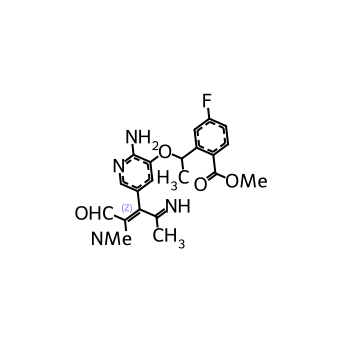 CN/C(C=O)=C(\C(C)=N)c1cnc(N)c(OC(C)c2cc(F)ccc2C(=O)OC)c1